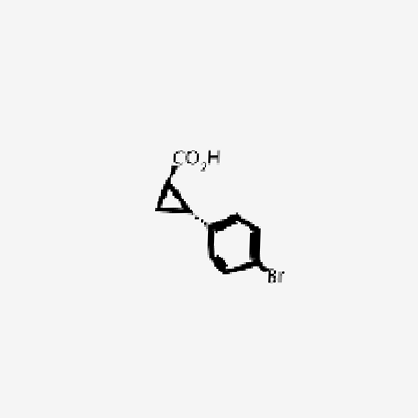 O=C(O)[C@@H]1C[C@H]1c1ccc(Br)cc1